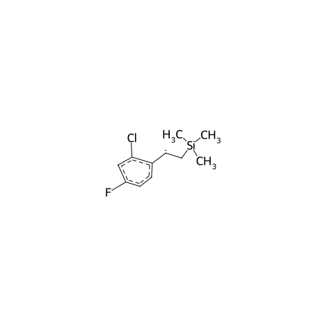 C[Si](C)(C)C[CH]c1ccc(F)cc1Cl